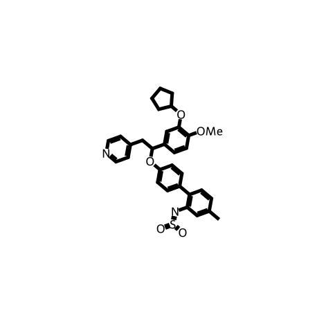 COc1ccc(C(Cc2ccncc2)Oc2ccc(-c3ccc(C)cc3N=S(=O)=O)cc2)cc1OC1CCCC1